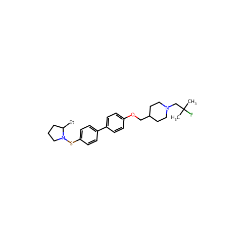 CCC1CCCN1Sc1ccc(-c2ccc(OCC3CCN(CC(C)(C)F)CC3)cc2)cc1